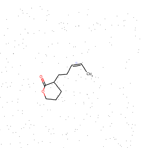 C/C=C\CCC1CCCOC1=O